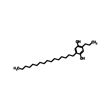 CCCCCCCCCCCCCCCCc1cc(O)c(CCC)cc1O